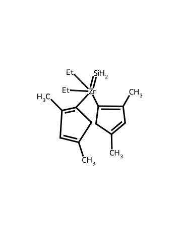 C[CH2][Zr](=[SiH2])([CH2]C)([C]1=C(C)C=C(C)C1)[C]1=C(C)C=C(C)C1